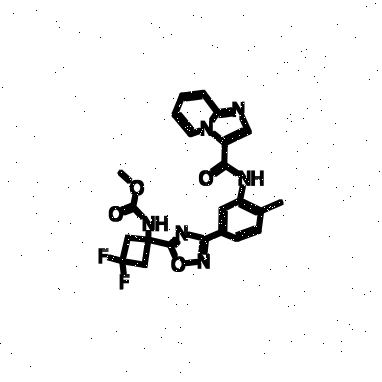 COC(=O)NC1(c2nc(-c3ccc(C)c(NC(=O)c4cnc5ccccn45)c3)no2)CC(F)(F)C1